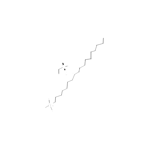 CCCCCCCCCCCCCCCCCC[N+](C)(C)C.CCS(=O)(=O)O